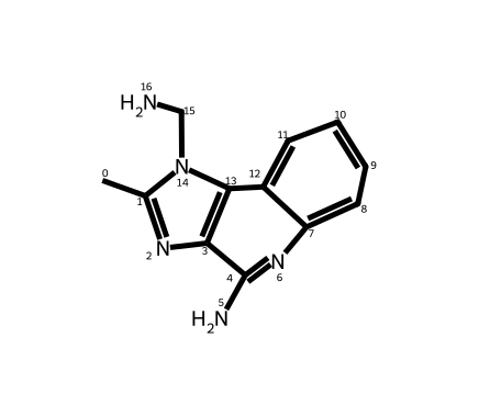 Cc1nc2c(N)nc3ccccc3c2n1CN